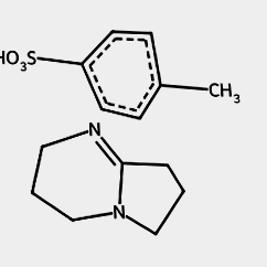 C1CN=C2CCCN2C1.Cc1ccc(S(=O)(=O)O)cc1